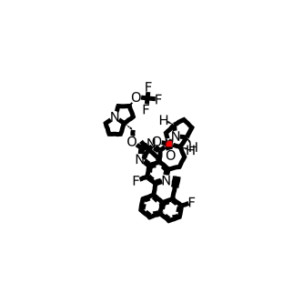 C#Cc1c(F)ccc2cccc(-c3nc4c5c(nc(OC[C@]67CCCN6C[C@H](OC(F)(F)F)C7)nc5c3F)N3C[C@H]5CC[C@@H]([C@H]3CC4)N5C(=O)OC(C)(C)C)c12